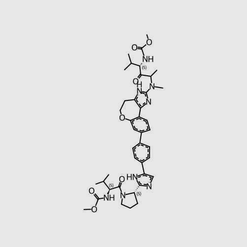 COC(=O)N[C@H](C(=O)C(C)N(C)c1nc2c([nH]1)CCOc1cc(-c3ccc(-c4cnc([C@@H]5CCCN5C(=O)[C@@H](NC(=O)OC)C(C)C)[nH]4)cc3)ccc1-2)C(C)C